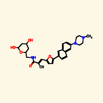 CN1CCN(c2ccc3cc(-c4ccc(/C=C(\C#N)C(=O)NCC5CC(O)CC(O)O5)o4)ccc3c2)CC1